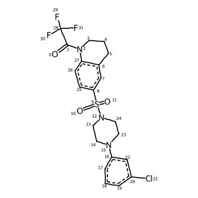 O=C(N1CCCc2cc(S(=O)(=O)N3CCN(c4cccc(Cl)c4)CC3)ccc21)C(F)(F)F